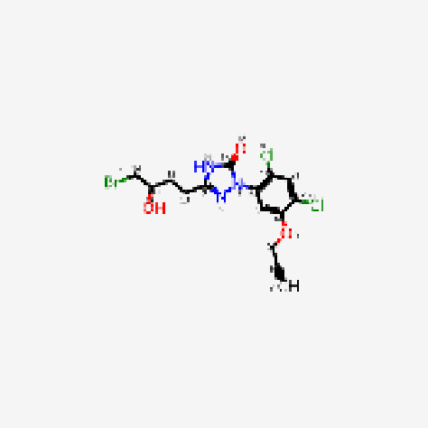 C#CCOc1cc(-n2nc(CCC(O)CBr)[nH]c2=O)c(Cl)cc1Cl